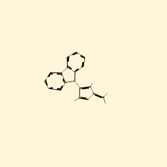 CC1=CC(=C(C)C)[C]([Hf+2])=C1C1c2ccccc2-c2ccccc21.[Cl-].[Cl-]